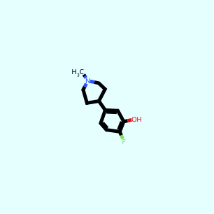 CN1CCC(c2ccc(F)c(O)c2)CC1